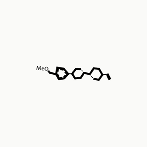 C=C[C@H]1CC[C@H]([C@H]2CC[C@H](c3ccc(COC)cc3)CC2)CC1